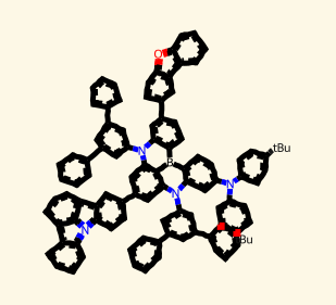 CC(C)(C)c1ccc(N(c2ccc(C(C)(C)C)cc2)c2ccc3c(c2)N(c2cc(-c4ccccc4)cc(-c4ccccc4)c2)c2cc(-c4ccc5c(c4)c4cccc6c7ccccc7n5c64)cc4c2B3c2ccc(-c3ccc5oc6ccccc6c5c3)cc2N4c2cc(-c3ccccc3)cc(-c3ccccc3)c2)cc1